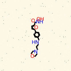 O=C(NO)c1ccc(-c2ccc(CNCCCN3CCOCC3)cc2)o1